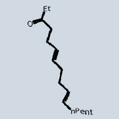 CCCCCC=CCCC=CCCC(=O)CC